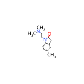 Cc1ccc2c(c1)CC(=O)N2CCN(C)C